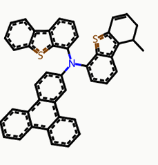 CC1CC=Cc2sc3c(N(c4ccc5c6ccccc6c6ccccc6c5c4)c4cccc5c4sc4ccccc45)cccc3c21